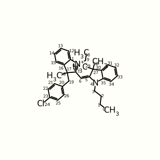 CCCCN1C(=CC2=[N+](CC)c3ccccc3C2(C)Cc2ccc(Cl)cc2)C(C)(C)c2ccccc21